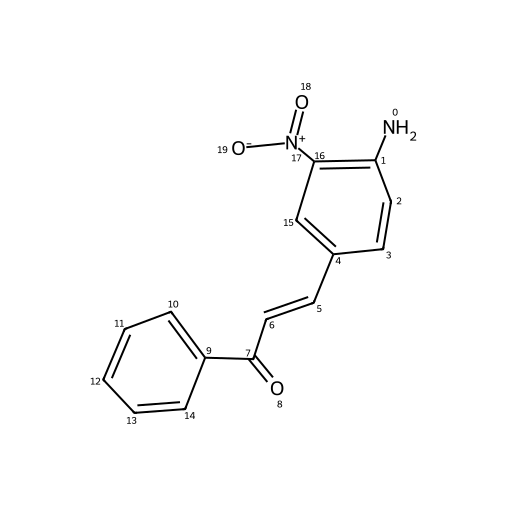 Nc1ccc(C=CC(=O)c2ccccc2)cc1[N+](=O)[O-]